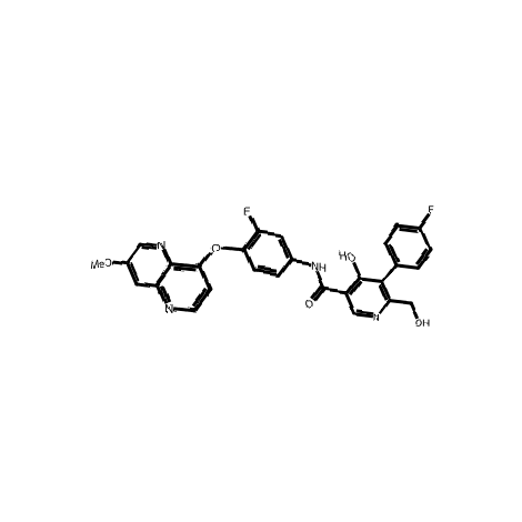 COc1cnc2c(Oc3ccc(NC(=O)c4cnc(CO)c(-c5ccc(F)cc5)c4O)cc3F)ccnc2c1